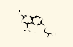 CCCNc1nc(N(C)C)c2nc(NCC(C)O)ncc2n1